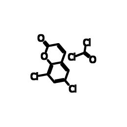 O=C(Cl)Cl.O=c1ccc2cc(Cl)cc(Cl)c2o1